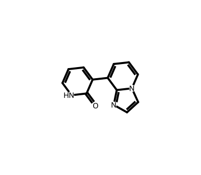 O=c1[nH]cccc1-c1cccn2ccnc12